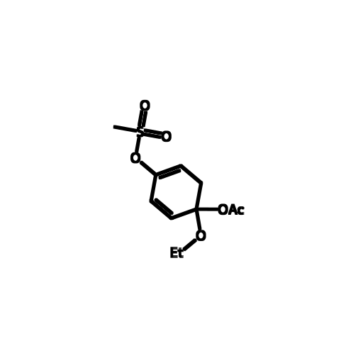 CCOC1(OC(C)=O)C=CC(OS(C)(=O)=O)=CC1